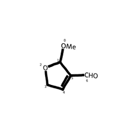 COC1OCC=C1C=O